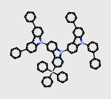 c1ccc(-c2cccc(-n3c4ccc(-c5ccccc5)cc4c4cc(-n5c6ccc(-n7c8ccc(-c9ccccc9)cc8c8cc(-c9ccccc9)ccc87)cc6c6cc([Si](c7ccccc7)(c7ccccc7)c7ccccc7)ccc65)ccc43)c2)cc1